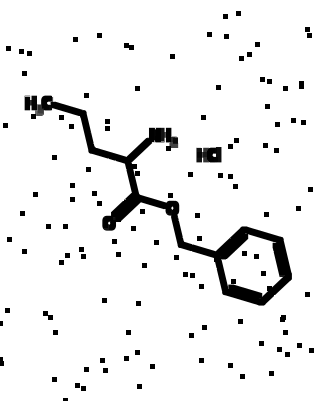 CCCC(N)C(=O)OCc1ccccc1.Cl